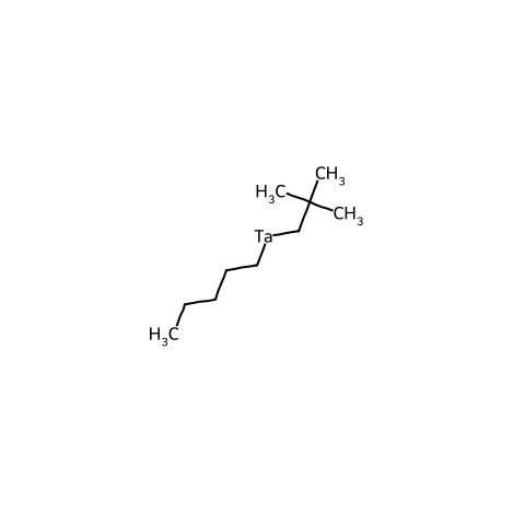 CCCC[CH2][Ta][CH2]C(C)(C)C